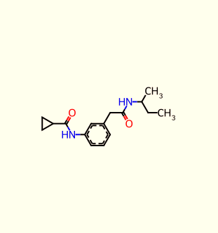 CCC(C)NC(=O)Cc1cccc(NC(=O)C2CC2)c1